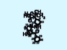 CC(C)(C)N(C(=O)O)c1cccc(Nc2ncnc3[nH]cc(C(=O)c4ccccc4)c23)c1